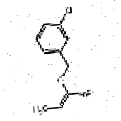 C/C=C(/CCC)OCc1cccc(Cl)c1